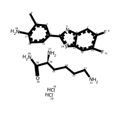 Cc1cc(-c2nc3cc(F)c(F)cc3s2)ccc1N.Cl.Cl.NCCCC[C@H](N)C(N)=O